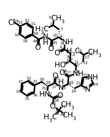 CC(C)C[C@H](NC(=O)C[C@H](O)[C@H](CC(C)C)NC(=O)[C@H](Cc1c[nH]cn1)NC(=O)[C@H](Cc1ccccc1)NC(=O)OC(C)(C)C)C(=O)NC(=O)c1ccc(Cl)cc1